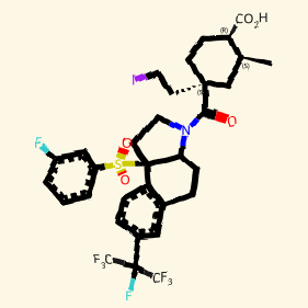 C[C@H]1C[C@@](CCI)(C(=O)N2CCC3(S(=O)(=O)c4cccc(F)c4)c4ccc(C(F)(C(F)(F)F)C(F)(F)F)cc4CCC23)CC[C@H]1C(=O)O